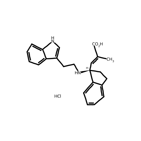 CC(=C[C@]1(NCCc2c[nH]c3ccccc23)CCc2ccccc21)C(=O)O.Cl